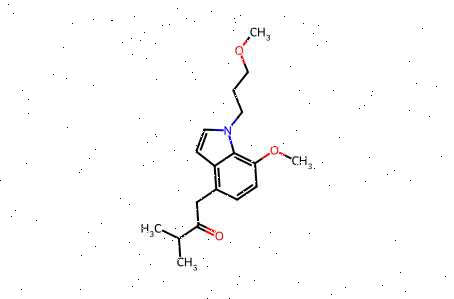 COCCCn1ccc2c(CC(=O)C(C)C)ccc(OC)c21